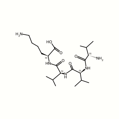 CC(C)[C@H](N)C(=O)N[C@H](C(=O)N[C@H](C(=O)N[C@@H](CCCCN)C(=O)O)C(C)C)C(C)C